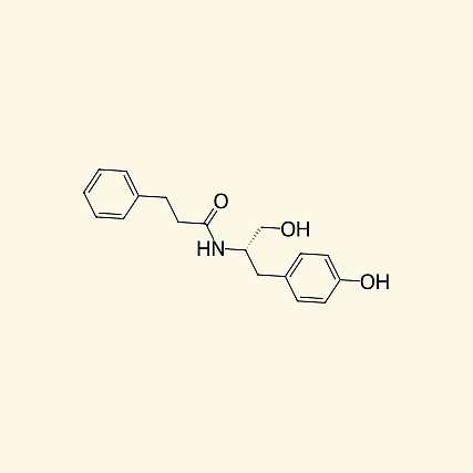 O=C(CCc1ccccc1)N[C@H](CO)Cc1ccc(O)cc1